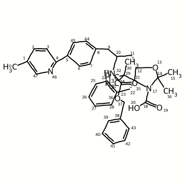 Cc1ccc(-c2ccc(CC(C[C@@H]3OC(C)(C)N(C(=O)O)[C@@]3(Cc3ccccc3)C(C)(C)C)NC(=O)OCc3ccccc3)cc2)nc1